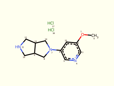 COc1cncc(N2CC3CNCC3C2)c1.Cl.Cl